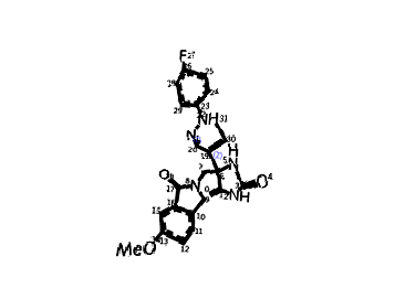 C=C1NC(=O)NC1(CN1Cc2ccc(OC)cc2C1=O)C(/C=N\Nc1ccc(F)cc1)=C/C